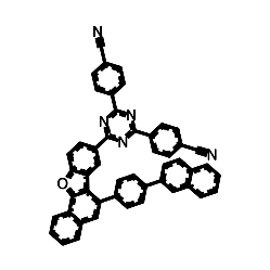 N#Cc1ccc(-c2nc(-c3ccc(C#N)cc3)nc(-c3ccc4oc5c6ccccc6cc(-c6ccc(-c7ccc8ccccc8c7)cc6)c5c4c3)n2)cc1